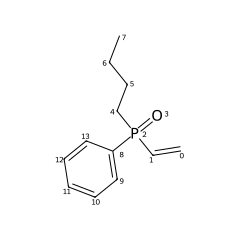 C=CP(=O)(CCCC)c1ccccc1